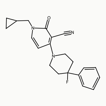 N#Cc1c(N2CCC(F)(c3ccccc3)CC2)ccn(CC2CC2)c1=O